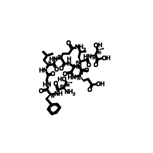 CC(C)C[C@H](NC(=O)CNC(=O)[C@H](Cc1ccccc1)NC(=O)[C@@H](N)[C@@H](C)O)C(=O)N[C@@H](CCC(N)=O)C(=O)N[C@@H](CC(C)C)C(=O)N[C@@H](CCC(=O)O)C(=O)N[C@@H](CC(C)C)C(=O)N[C@H](C(=O)O)[C@@H](C)O